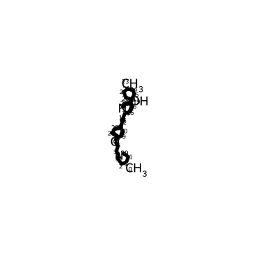 CC1CCN(CCOc2ccc(C#Cc3ccc([C@]4(O)CC[C@H](C)CC4)cn3)cc2)CC1